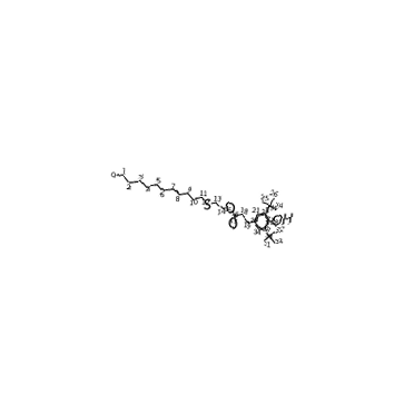 CCCCCCCCCCCCSCCOC(=O)CCc1cc(C(C)(C)C)c(O)c(C(C)(C)C)c1